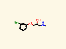 CNCC(O)COc1cccc(Br)c1